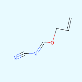 C=CCOC=NC#N